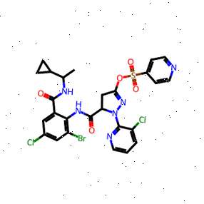 CC(NC(=O)c1cc(Cl)cc(Br)c1NC(=O)C1CC(OS(=O)(=O)c2ccncc2)=NN1c1ncccc1Cl)C1CC1